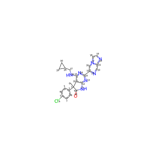 CC1(c2ccc(Cl)cc2)C(=O)Nc2nc(-c3cn4ccnc4cn3)nc(NCC3CC3)c21